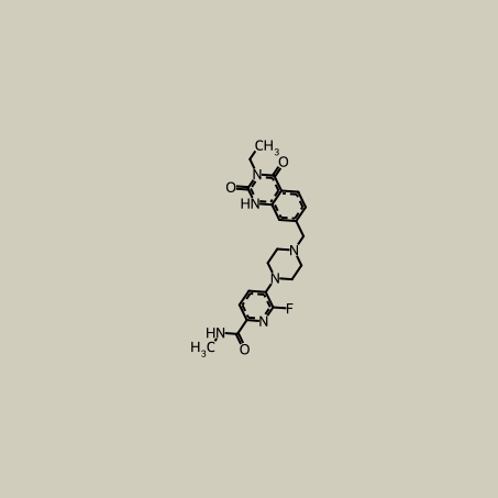 CCn1c(=O)[nH]c2cc(CN3CCN(c4ccc(C(=O)NC)nc4F)CC3)ccc2c1=O